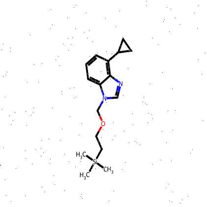 C[Si](C)(C)CCOCn1cnc2c([C]3CC3)cccc21